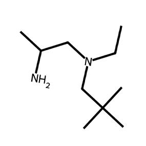 CCN(CC(C)N)CC(C)(C)C